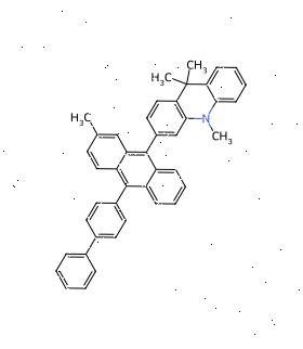 Cc1ccc2c(-c3ccc(-c4ccccc4)cc3)c3ccccc3c(-c3ccc4c(c3)N(C)c3ccccc3C4(C)C)c2c1